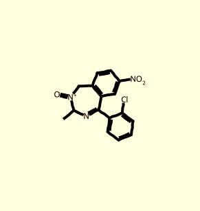 CC1N=C(c2ccccc2Cl)c2cc([N+](=O)[O-])ccc2C[N+]1=O